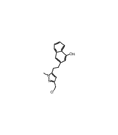 Cn1nc(CCl)cc1CCc1cc(O)c2ccccc2c1